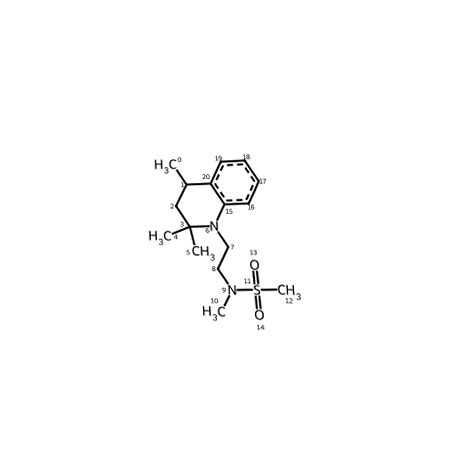 CC1CC(C)(C)N(CCN(C)S(C)(=O)=O)c2ccccc21